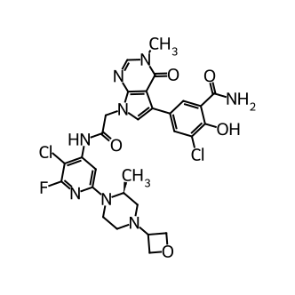 C[C@H]1CN(C2COC2)CCN1c1cc(NC(=O)Cn2cc(-c3cc(Cl)c(O)c(C(N)=O)c3)c3c(=O)n(C)cnc32)c(Cl)c(F)n1